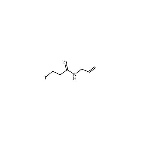 C=CCNC(=O)CCI